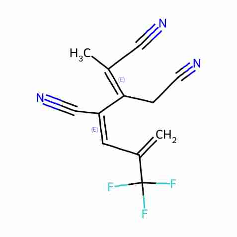 C=C(/C=C(C#N)\C(CC#N)=C(/C)C#N)C(F)(F)F